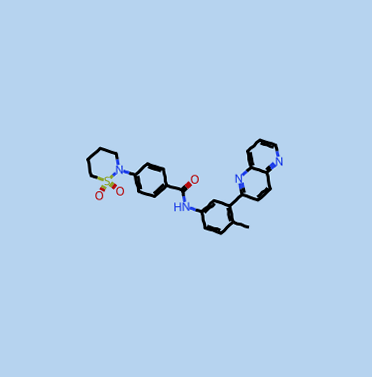 Cc1ccc(NC(=O)c2ccc(N3CCCCS3(=O)=O)cc2)cc1-c1ccc2ncccc2n1